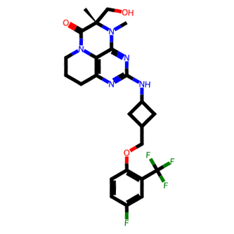 CN1c2nc(NC3CC(COc4ccc(F)cc4C(F)(F)F)C3)nc3c2N(CCC3)C(=O)[C@]1(C)CO